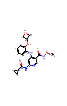 CONC(=O)c1cnc(NC(=O)C2CC2)cc1Nc1ccccc1OC1COC1